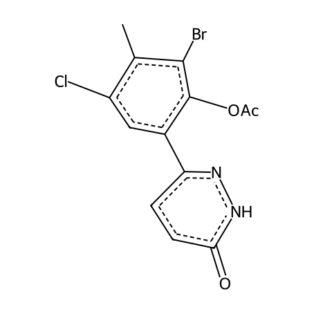 CC(=O)Oc1c(-c2ccc(=O)[nH]n2)cc(Cl)c(C)c1Br